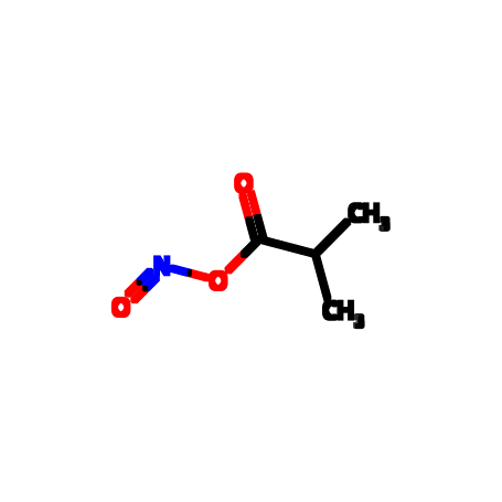 CC(C)C(=O)ON=O